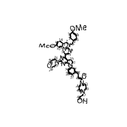 COc1ccc(CN(Cc2ccc(OC)cc2)c2ncc(-c3nc(N4CCOCC4)nc4c3CCN4c3cccc(CCC(=O)N4CCN(CCO)CC4)c3)cn2)cc1